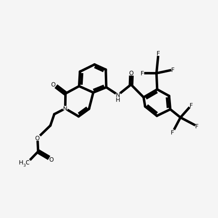 CC(=O)OCCn1ccc2c(NC(=O)c3ccc(C(F)(F)F)cc3C(F)(F)F)cccc2c1=O